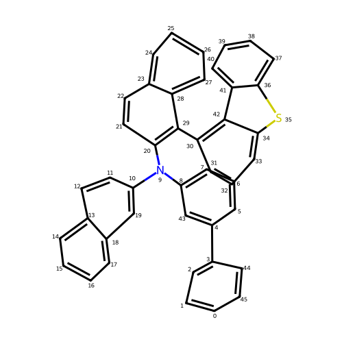 c1ccc(-c2cccc(N(c3ccc4ccccc4c3)c3ccc4ccccc4c3-c3cccc4sc5ccccc5c34)c2)cc1